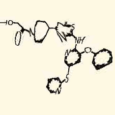 O=C(CO)N1CCC(c2nsc(Nc3ncc(Sc4ccccn4)cc3Oc3ccccc3)n2)CC1